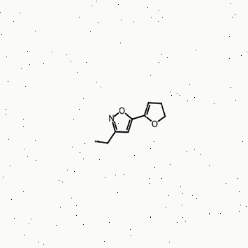 CCc1cc(C2=CCCO2)on1